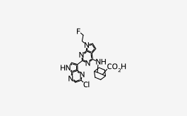 O=C(O)C1C2CCC(CC2)C1Nc1nc(-c2c[nH]c3ncc(Cl)nc23)nc2c1ccn2CCF